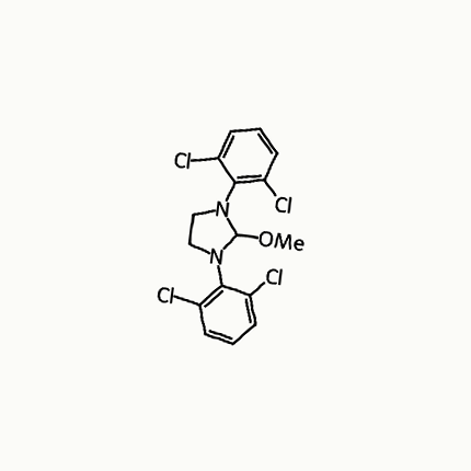 COC1N(c2c(Cl)cccc2Cl)CCN1c1c(Cl)cccc1Cl